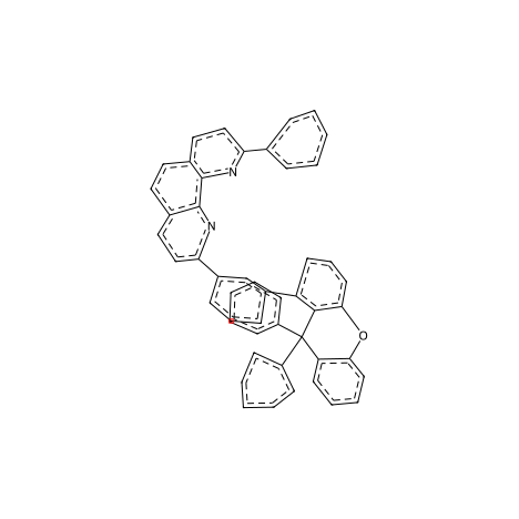 c1ccc(-c2ccc3ccc4ccc(-c5cccc(-c6cccc7c6C(c6ccccc6)(c6ccccc6)c6ccccc6O7)c5)nc4c3n2)cc1